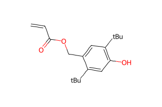 C=CC(=O)OCc1cc(C(C)(C)C)c(O)cc1C(C)(C)C